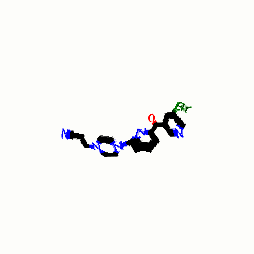 N#CCCN1CCN(c2cccc(C(=O)c3cncc(Br)c3)n2)CC1